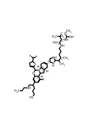 CCCNCC(CCCS)C1=CC2OC(C3=CCC(C(F)F)S3)N3C(C[C@@H]4CC([C@@H]5CNC(C(C)[C@@H](C)CCCN[C@H](O)[C@@H](NC(O)OC)C(C)C)N5)=CC[C@@H]43)[C@H]2C(F)=C1